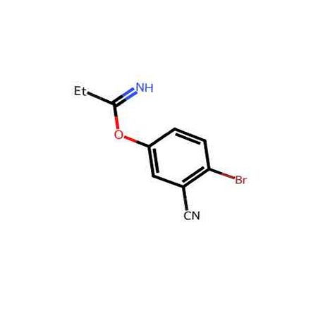 CCC(=N)Oc1ccc(Br)c(C#N)c1